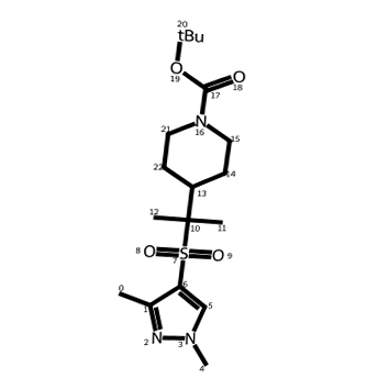 Cc1nn(C)cc1S(=O)(=O)C(C)(C)C1CCN(C(=O)OC(C)(C)C)CC1